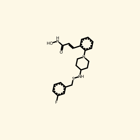 O=C(/C=C/c1ccccc1N1CCC(NSCc2cccc(F)c2)CC1)NO